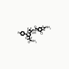 NC(=O)[C@@]1(F)COc2c1cc([C@@](O)(CNC(=O)c1cc(Cl)c3nc(N)sc3c1)C(F)(F)F)nc2-c1ccc(F)cc1